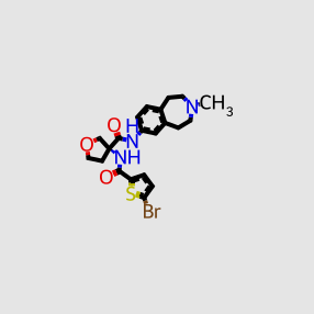 CN1CCc2ccc(NC(=O)[C@]3(NC(=O)c4ccc(Br)s4)CCOC3)cc2CC1